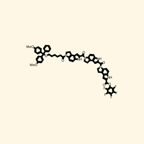 COc1ccc(C(OCCCCCC(=O)N2CCc3c2ccc2[nH]c(C(=O)N4CCc5c4ccc4[nH]c(C(=O)N6CCc7c6ccc6[nH]c(C(=O)Oc8c(F)c(F)c(F)c(F)c8F)cc76)cc54)cc32)(c2ccccc2)c2ccc(OC)cc2)cc1